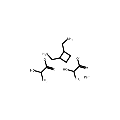 CC(O)C(=O)[O-].CC(O)C(=O)[O-].NCC1CCC1CN.[Pt+2]